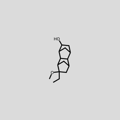 CCC1(OC)CC2CC1C1C3CC(CC3O)C21